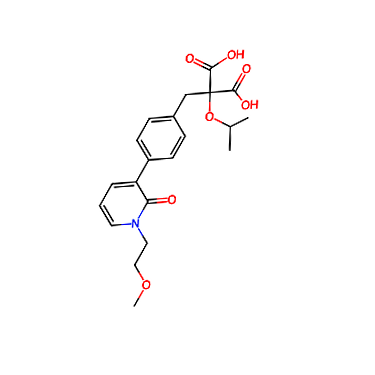 COCCn1cccc(-c2ccc(CC(OC(C)C)(C(=O)O)C(=O)O)cc2)c1=O